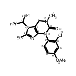 CCCC(CCC)n1c(CC)nc2c1CN(C)C(=O)N2c1ccc(OC)cc1Cl